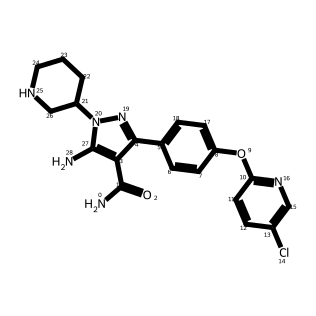 NC(=O)c1c(-c2ccc(Oc3ccc(Cl)cn3)cc2)nn(C2CCCNC2)c1N